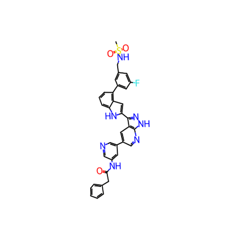 CS(=O)(=O)NCc1cc(F)cc(-c2cccc3[nH]c(-c4n[nH]c5ncc(-c6cncc(NC(=O)Cc7ccccc7)c6)cc45)cc23)c1